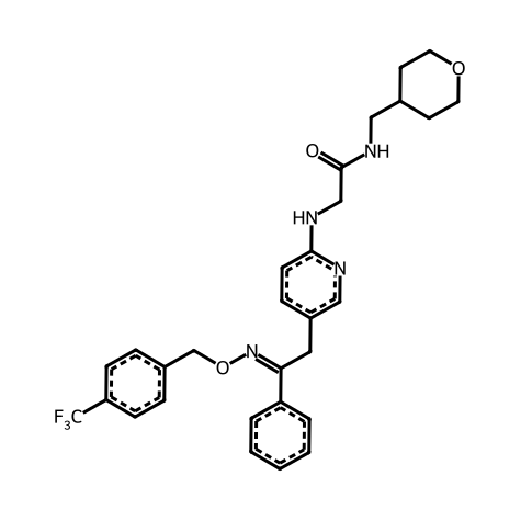 O=C(CNc1ccc(CC(=NOCc2ccc(C(F)(F)F)cc2)c2ccccc2)cn1)NCC1CCOCC1